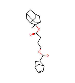 CC1(OC(=O)CCCOC(=O)C2CC3C=CC2C3)C2CC3CC(C2)CC1C3